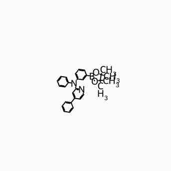 CC1(C)OB(c2cccc(N(c3ccccc3)c3cc(-c4ccccc4)ccn3)c2)OC1(C)C